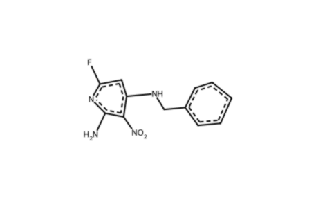 Nc1nc(F)cc(NCc2ccccc2)c1[N+](=O)[O-]